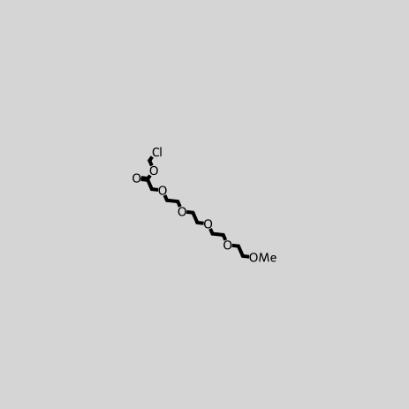 COCCOCCOCCOCCOCC(=O)OCCl